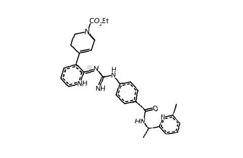 CCOC(=O)N1CC=C(c2ccc[nH]/c2=N\C(=N)Nc2ccc(C(=O)NC(C)c3cccc(C)n3)cc2)CC1